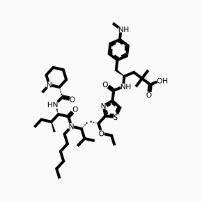 CCCCCCN(C(=O)[C@@H](NC(=O)[C@H]1CCCCN1C)[C@@H](C)CC)[C@H](C[C@@H](OCC)c1nc(C(=O)N[C@@H](Cc2ccc(NC)cc2)CC(C)(C)C(=O)O)cs1)C(C)C